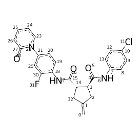 C=C1C[C@H](C(=O)Nc2ccc(Cl)cc2)[C@@H](C(=O)Nc2ccc(-n3ccccc3=O)cc2F)C1